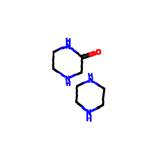 C1CNCCN1.O=C1CNCCN1